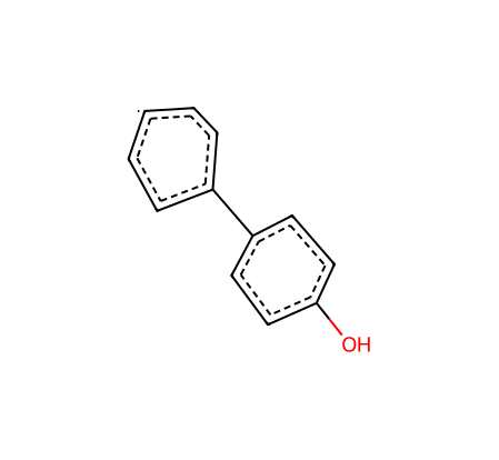 Oc1ccc(-c2cc[c]cc2)cc1